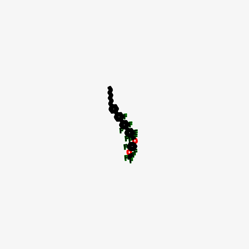 CCCCCCCc1ccc(-c2ccc(-c3cc(F)c(-c4cc(F)c(C(F)(F)Oc5cc(F)c(OC(F)=C(F)F)c(F)c5)c(F)c4)c(F)c3)c(F)c2)cc1